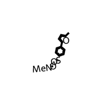 CNOOSc1ccc(-c2ccc(C)o2)cc1